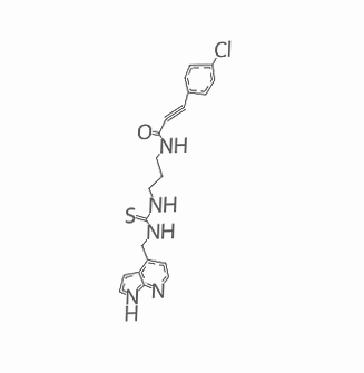 O=C(C#Cc1ccc(Cl)cc1)NCCCNC(=S)NCc1ccnc2[nH]ccc12